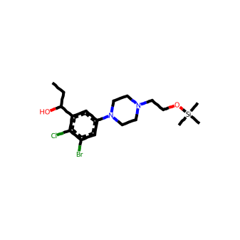 CCC(O)c1cc(N2CCN(CCO[Si](C)(C)C)CC2)cc(Br)c1Cl